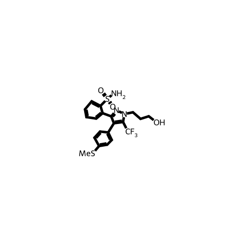 CSc1ccc(-c2c(-c3ccccc3S(N)(=O)=O)nn(CCCO)c2C(F)(F)F)cc1